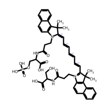 CC1(C)C(/C=C/C=C/C=C/C=C2\N(CCC(=O)NC(COP(=O)(O)O)C(=O)O)c3ccc4ccccc4c3C2(C)C)=[N+](CCC(=O)NC(CO)C(=O)O)c2ccc3ccccc3c21